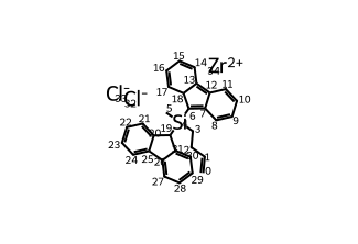 C=CCC[Si](C)(C1=c2ccccc2=C2C=CC=CC21)C1c2ccccc2-c2ccccc21.[Cl-].[Cl-].[Zr+2]